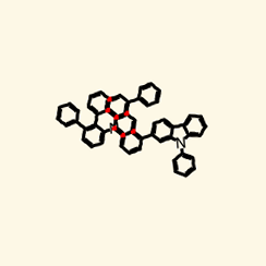 c1ccc(-c2cccc(N(c3cccc(-c4ccc5c6ccccc6n(-c6ccccc6)c5c4)c3)c3cccc(-c4ccccc4)c3-c3ccccc3-c3ccccc3)c2)cc1